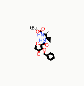 C[C@@H](NC(=O)OC(C)(C)C)C1(NC(=O)c2occc(=O)c2OCc2ccccc2)CC1